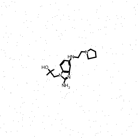 CC(C)(O)Cn1c(N)nc2cc(NCCN3CCCC3)ccc21